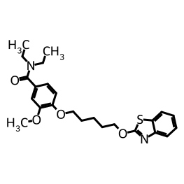 CCN(CC)C(=O)c1ccc(OCCCCCOc2nc3ccccc3s2)c(OC)c1